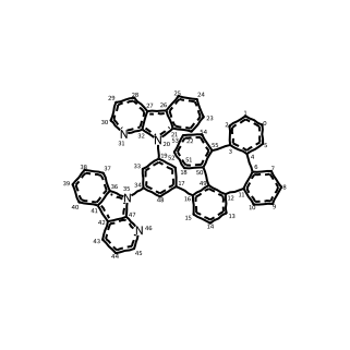 c1ccc2c(c1)-c1ccccc1-c1cccc(-c3cc(-n4c5ccccc5c5cccnc54)cc(-n4c5ccccc5c5cccnc54)c3)c1-c1ccccc1-2